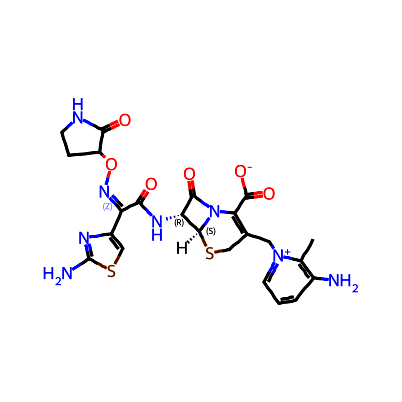 Cc1c(N)ccc[n+]1CC1=C(C(=O)[O-])N2C(=O)[C@@H](NC(=O)/C(=N\OC3CCNC3=O)c3csc(N)n3)[C@@H]2SC1